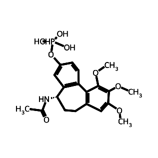 COc1cc2c(c(OC)c1OC)-c1ccc(O[PH](O)(O)O)cc1[C@@H](NC(C)=O)CC2